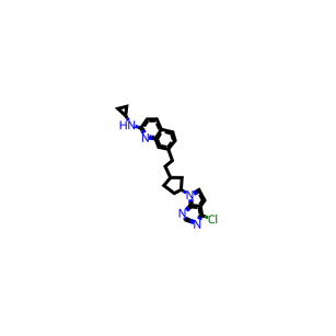 Clc1ncnc2c1ccn2C1CCC(CCc2ccc3ccc(NC4CC4)nc3c2)C1